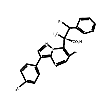 CCC(c1ccccc1)[C@](C)(C(=O)O)c1c(Cl)cnc2c(-c3ccc(C(F)(F)F)cc3)cnn12